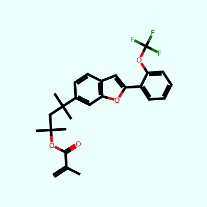 C=C(C)C(=O)OC(C)(C)CC(C)(C)c1ccc2cc(-c3ccccc3OC(F)(F)F)oc2c1